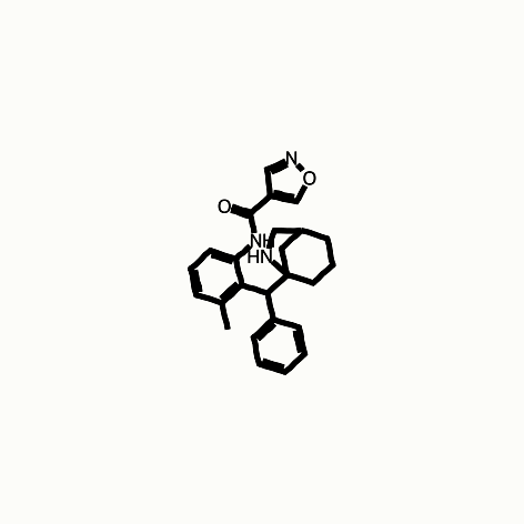 Cc1cccc(NC(=O)c2cnoc2)c1C(c1ccccc1)C12CCCC(CN1)C2